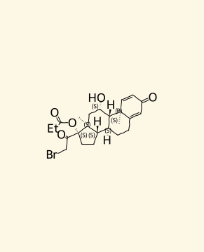 CCC(=O)O[C@@]1(C(=O)CBr)CC[C@H]2[C@@H]3CCC4=CC(=O)C=C[C@]4(C)[C@H]3[C@@H](O)C[C@@]21C